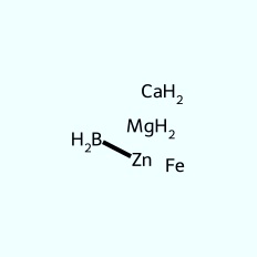 [BH2][Zn].[CaH2].[Fe].[MgH2]